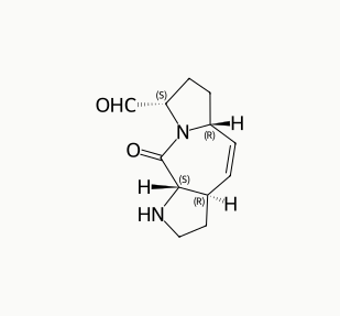 O=C[C@@H]1CC[C@@H]2C=C[C@H]3CCN[C@@H]3C(=O)N12